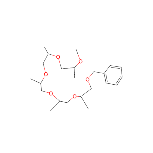 COC(C)COC(C)COC(C)COC(C)COC(C)COCc1ccccc1